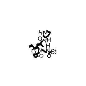 C=CC1=C(/C=C(\C)C(=O)NC2CCCNC2)N(CCNC(=O)CC)C(=O)C2(CCC2)O1